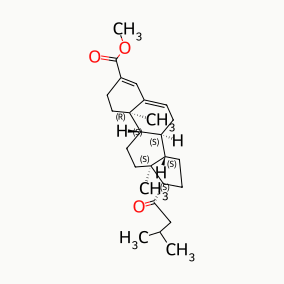 COC(=O)C1=CC2=CC[C@H]3[C@@H]4CC[C@H](C(=O)CC(C)C)[C@@]4(C)CC[C@@H]3[C@@]2(C)CC1